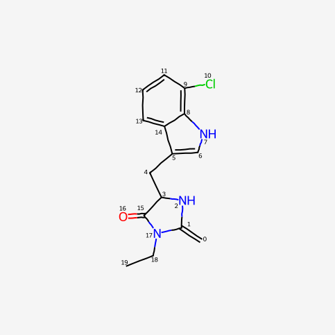 C=C1NC(Cc2c[nH]c3c(Cl)cccc23)C(=O)N1CC